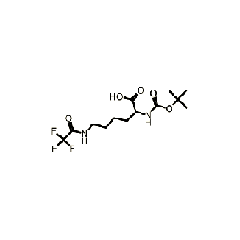 CC(C)(C)OC(=O)NC(CCCCNC(=O)C(F)(F)F)C(=O)O